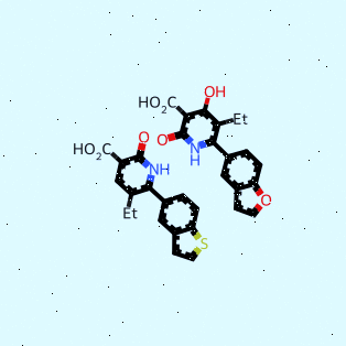 CCc1c(-c2ccc3occc3c2)[nH]c(=O)c(C(=O)O)c1O.CCc1cc(C(=O)O)c(=O)[nH]c1-c1ccc2sccc2c1